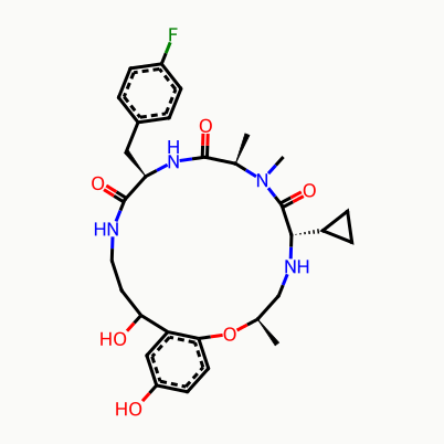 C[C@@H]1CN[C@@H](C2CC2)C(=O)N(C)[C@H](C)C(=O)N[C@H](Cc2ccc(F)cc2)C(=O)NCCC(O)c2cc(O)ccc2O1